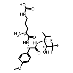 COc1ccc([C@H](NC(=O)[C@@H](N)CCCNC(=O)O)C(=O)N[C@@H](C(C)C)[C@H](O)C(F)(F)F)cc1